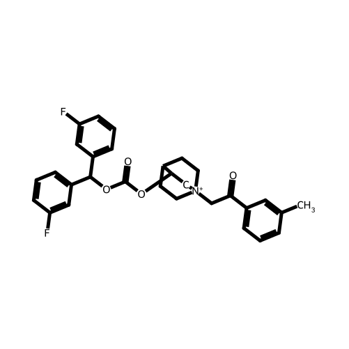 Cc1cccc(C(=O)C[N+]23CCC(CC2)C(OC(=O)OC(c2cccc(F)c2)c2cccc(F)c2)C3)c1